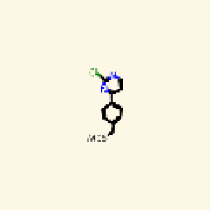 CSCc1ccc(-c2ccnc(Cl)n2)cc1